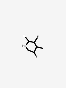 CC1C(F)CNC(F)C1F